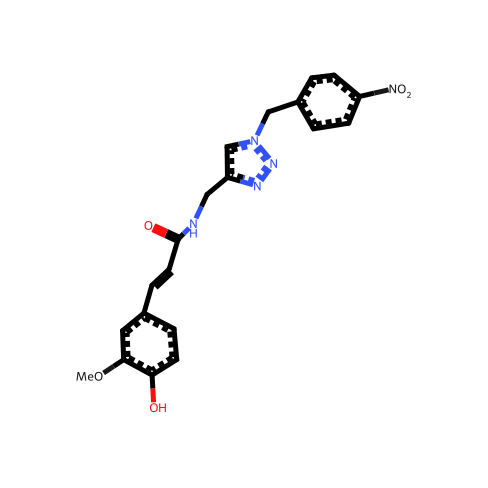 COc1cc(/C=C/C(=O)NCc2cn(Cc3ccc([N+](=O)[O-])cc3)nn2)ccc1O